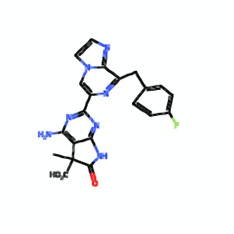 CC1(C(=O)O)C(=O)Nc2nc(-c3cn4ccnc4c(Cc4ccc(F)cc4)n3)nc(N)c21